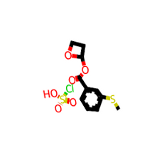 CSc1cccc(C(=O)OC2CCO2)c1.O=S(=O)(O)Cl